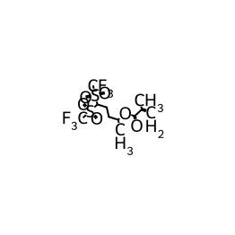 C=C(C)C(=O)OC(C)CCC(S(=O)(=O)C(F)(F)F)S(=O)(=O)C(F)(F)F